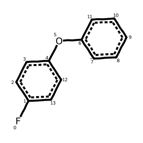 Fc1ccc(Oc2[c]cccc2)cc1